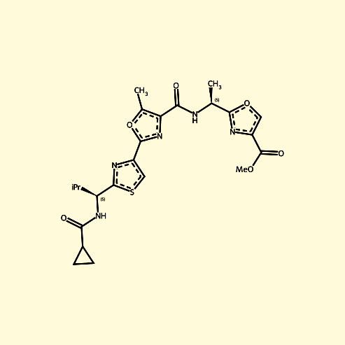 COC(=O)c1coc([C@H](C)NC(=O)c2nc(-c3csc([C@@H](NC(=O)C4CC4)C(C)C)n3)oc2C)n1